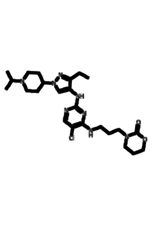 CCc1nn(C2CCN(C(C)C)CC2)cc1Nc1ncc(Cl)c(NCCCN2CCCOC2=O)n1